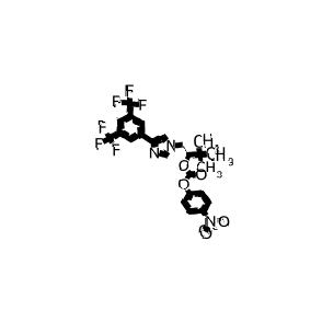 CC(C)(C)[C@@H](Cn1cnc(-c2cc(C(F)(F)F)cc(C(F)(F)F)c2)c1)OC(=O)Oc1ccc([N+](=O)[O-])cc1